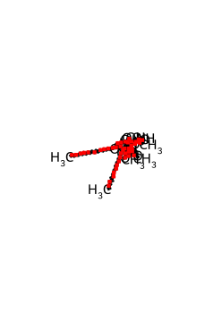 CCCCCCCCCCCCCCCCCCCCCCOc1ccc(CNC(=O)CC(C(=O)O)[C@H]2C[C@H](n3cc(C)c(=O)[nH]c3=O)O[C@@H]2COC(c2ccccc2)(c2ccc(OC)cc2)c2ccc(OC)cc2)c(OCCCCCCCCCCCCCCCCCCCCCC)c1